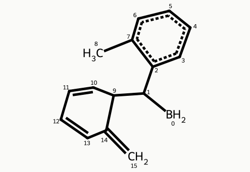 BC(c1ccccc1C)C1C=CC=CC1=C